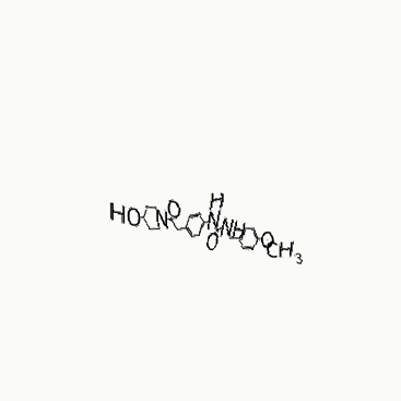 COc1ccc(CNC(=O)Nc2ccc(CC(=O)N3CCC(O)CC3)cc2)cc1